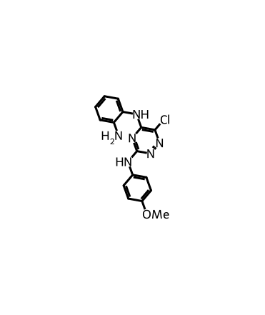 COc1ccc(Nc2nnc(Cl)c(Nc3ccccc3N)n2)cc1